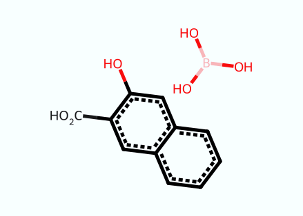 O=C(O)c1cc2ccccc2cc1O.OB(O)O